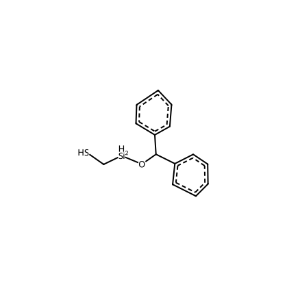 SC[SiH2]OC(c1ccccc1)c1ccccc1